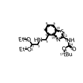 CCOC(CNCc1cccc2sc(NC(=O)OC(C)(C)C)nc12)OCC